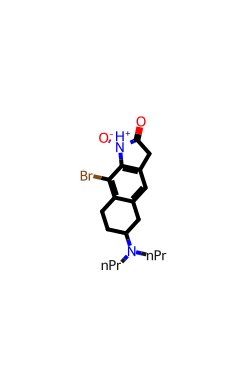 CCCN(CCC)C1CCc2c(cc3c(c2Br)[NH+]([O-])C(=O)C3)C1